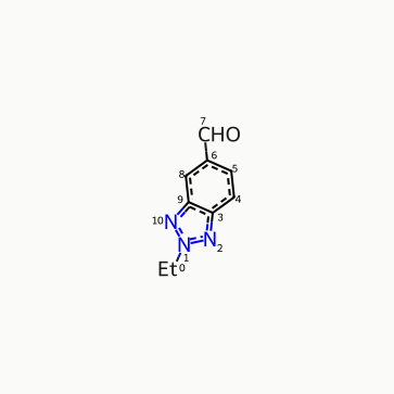 CCn1nc2ccc(C=O)cc2n1